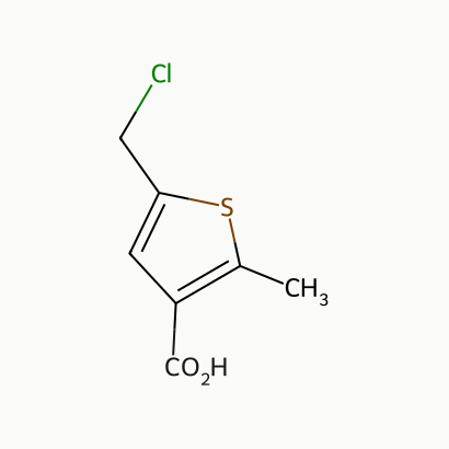 Cc1sc(CCl)cc1C(=O)O